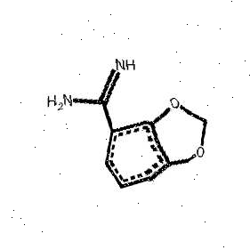 N=C(N)c1cccc2c1OCO2